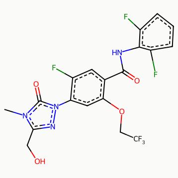 Cn1c(CO)nn(-c2cc(OCC(F)(F)F)c(C(=O)Nc3c(F)cccc3F)cc2F)c1=O